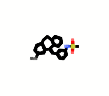 COc1ccc2c(c1)/C(=C/c1cccc(NS(C)(=O)=O)c1)c1ccccc1CC2